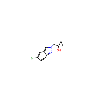 OC1(Cn2cc3cc(Br)ccc3n2)CC1